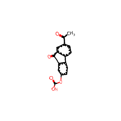 CC(=O)c1ccc2c(c1)C(=O)c1cc(OC(=O)O)ccc1-2